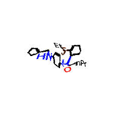 CCCC(=O)N(c1ccc(NCc2ccccc2)cc1)c1ccccc1SCC